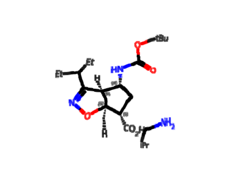 CC(C)CN.CCC(CC)C1=NO[C@H]2[C@@H]1[C@H](NC(=O)OC(C)(C)C)C[C@@H]2C(=O)O